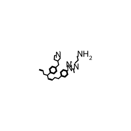 C=CCC(/C=C\CCc1ccc(N(N=C)/C(C)=N\CCCN)cc1)c1ccc(CC2CCN(C)C2)cc1